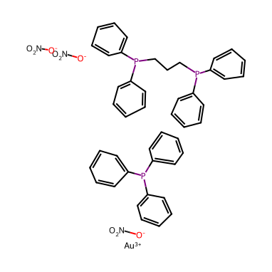 O=[N+]([O-])[O-].O=[N+]([O-])[O-].O=[N+]([O-])[O-].[Au+3].c1ccc(P(CCCP(c2ccccc2)c2ccccc2)c2ccccc2)cc1.c1ccc(P(c2ccccc2)c2ccccc2)cc1